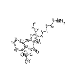 CCOC(=O)[C@@H](CCCCCCN)NC1CSc2ccccc2N(CC(=O)O)C1=O